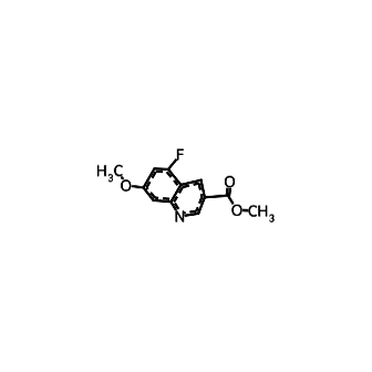 COC(=O)c1cnc2cc(OC)cc(F)c2c1